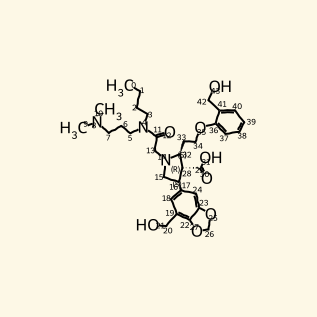 CCCCN(CCCN(C)C)C(=O)CN1C[C@H](c2cc(CO)c3c(c2)OCO3)[C@@H](C(=O)O)[C@@H]1CCOc1ccccc1CO